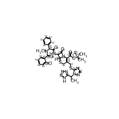 CC(c1nnn[nH]1)n1nnnc1SCC1=C(C(=O)O[Si](C)(C)C)N2C(=O)C(NC(=O)C(c3ccccc3)N(C)C(=O)c3ccccc3Cl)[C@@H]2SC1